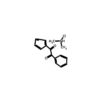 C[SiH](C)Cl.O=C(C(=O)c1ccccc1)c1ccccc1